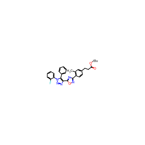 Cc1cc(CCC(=O)OC(C)(C)C)ccc1-c1noc(-c2nnn(-c3ccccc3F)c2-c2ccccc2)n1